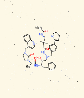 CCC(C)C(C(=O)NC(Cc1ccccc1)C(O)CN(Cc1ccc(-c2ccccn2)cc1)NC(=O)CC(C)(C)CNC(=O)OC)N1CCN(Cc2ccnc3ccccc23)C1=O